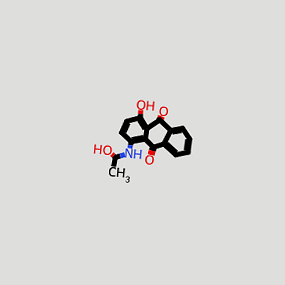 CC(O)Nc1ccc(O)c2c1C(=O)c1ccccc1C2=O